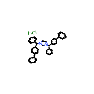 C1=CN(C(c2ccccc2)c2ccc(-c3ccccc3)cc2)CN1C(c1ccccc1)c1ccc(-c2ccccc2)cc1.Cl